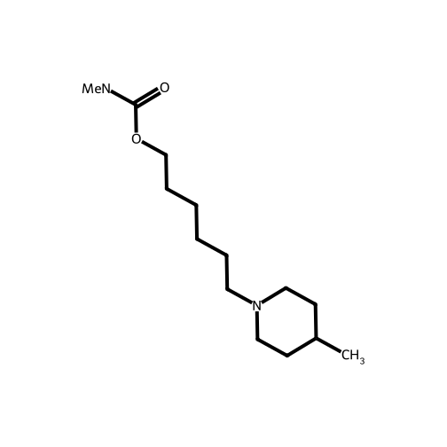 CNC(=O)OCCCCCCN1CCC(C)CC1